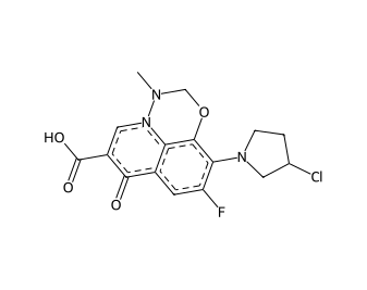 CN1COc2c(N3CCC(Cl)C3)c(F)cc3c(=O)c(C(=O)O)cn1c23